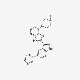 FC1(F)CCN(c2ccnc3[nH]c(-c4n[nH]c5ccc(-c6cccnc6)cc45)nc23)CC1